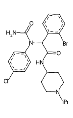 CC(C)N1CCC(NC(=O)C(c2ccccc2Br)N(C(N)=O)c2ccc(Cl)cc2)CC1